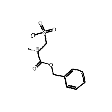 C[C@H](CS(=O)(=O)Cl)C(=O)OCc1ccccc1